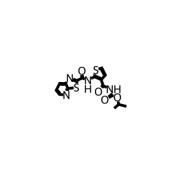 CC(C)OC(=O)NC(=O)c1ccsc1NC(=O)c1nc2cccnc2s1